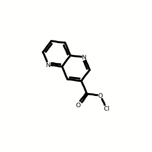 O=C(OCl)c1cnc2cccnc2c1